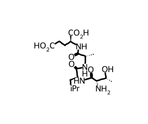 CC(C)C[C@H](NC(=O)[C@@H](N)[C@@H](C)O)C(=O)N[C@@H](C)C(=O)N[C@@H](CCC(=O)O)C(=O)O